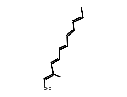 C/C=C/C=C/C=C/C=C/C(C)=C/C=O